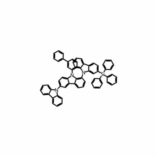 c1ccc(-c2cccc(-n3c4ccc(-n5c6ccccc6c6ccccc65)cc4c4cccc(-n5c6ccccc6c6ccc([Si](c7ccccc7)(c7ccccc7)c7ccccc7)cc65)c43)c2)cc1